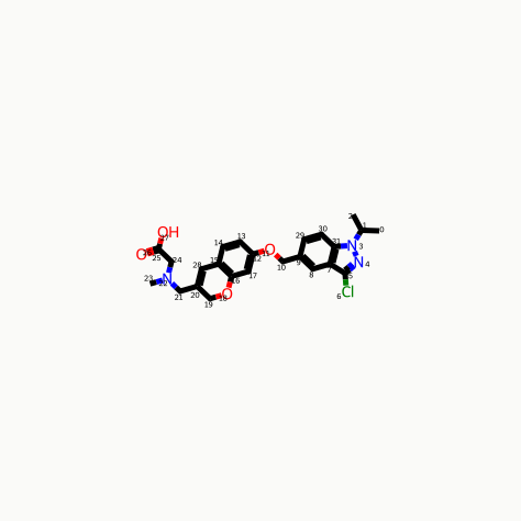 CC(C)n1nc(Cl)c2cc(COc3ccc4c(c3)OCC(CN(C)CC(=O)O)=C4)ccc21